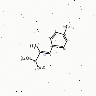 CC(=O)OC(OC(C)=O)/C(C)=C/c1ccc(C)cc1